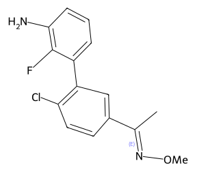 CO/N=C(\C)c1ccc(Cl)c(-c2cccc(N)c2F)c1